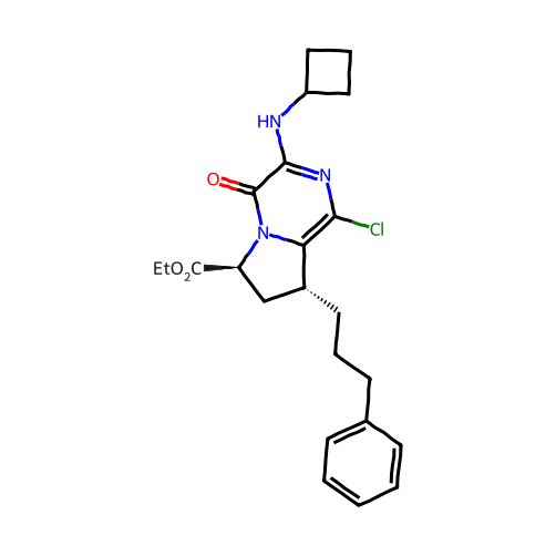 CCOC(=O)[C@@H]1C[C@@H](CCCc2ccccc2)c2c(Cl)nc(NC3CCC3)c(=O)n21